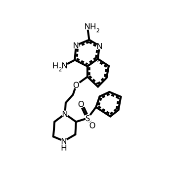 Nc1nc(N)c2c(OCCN3CCNCC3S(=O)(=O)c3ccccc3)cccc2n1